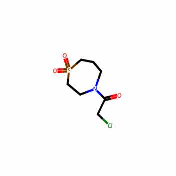 O=C(CCl)N1CCCS(=O)(=O)CC1